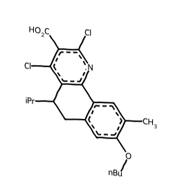 CCCCOc1cc2c(cc1C)-c1nc(Cl)c(C(=O)O)c(Cl)c1C(C(C)C)C2